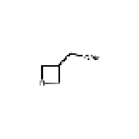 COCC1C[N]C1